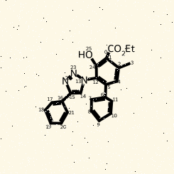 CCOC(=O)c1c(C)cc(-c2ccccc2)c(-n2cc(-c3ccccc3)nn2)c1O